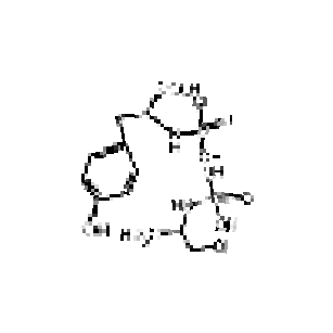 O=C(O)[C@H](CO)NP(=O)(O)O.O=C(O)[C@H](Cc1ccc(O)cc1)NP(=O)(O)O